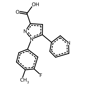 Cc1ccc(-n2nc(C(=O)O)cc2-c2cccnc2)cc1F